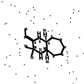 CC=C1N[C@H]2CCCCC[C@@H]2NC1(C)C